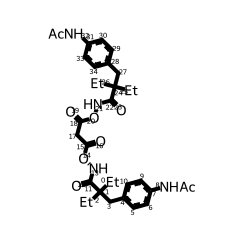 CCC(CC)(Cc1ccc(NC(C)=O)cc1)C(=O)NOC(=O)CC(=O)ONC(=O)C(CC)(CC)Cc1ccc(NC(C)=O)cc1